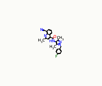 Cc1cc(C(=O)Nc2c(C)nn(Cc3ccc(F)cc3)c2C)c2cccc(C#N)c2n1